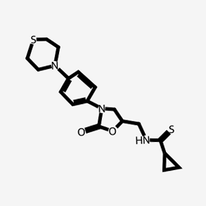 O=C1OC(CNC(=S)C2CC2)CN1c1ccc(N2CCSCC2)cc1